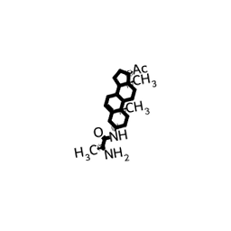 CC(=O)[C@H]1CCC2C3CC=C4C[C@H](NC(=O)[C@H](C)N)CC[C@]4(C)C3CC[C@@]21C